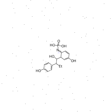 CCC(c1ccc(O)cc1)C(O)C1C=C(O)C=C/C1=N\P(=O)(O)O